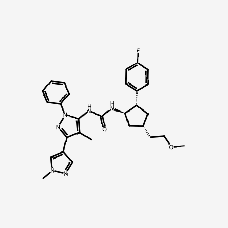 COCC[C@@H]1C[C@@H](NC(=O)Nc2c(C)c(-c3cnn(C)c3)nn2-c2ccccc2)[C@H](c2ccc(F)cc2)C1